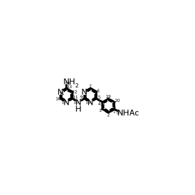 CC(=O)Nc1ccc(-c2ccnc(Nc3cc(N)ncn3)n2)cc1